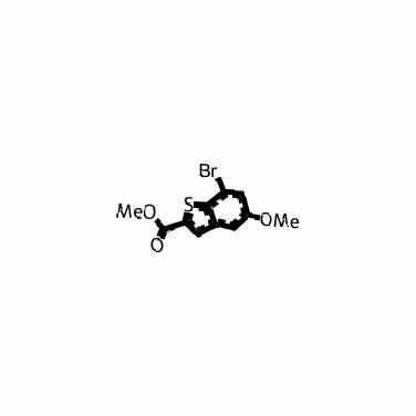 COC(=O)c1cc2cc(OC)cc(Br)c2s1